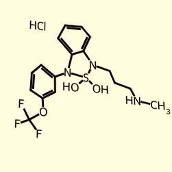 CNCCCN1c2ccccc2N(c2cccc(OC(F)(F)F)c2)S1(O)O.Cl